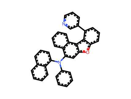 c1ccc(N(c2cccc3ccccc23)c2cc3oc4cccc(-c5cccnc5)c4c3c3ccccc23)cc1